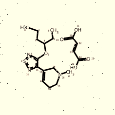 CCCC(CC)Oc1nsnc1C1=CCCN(C)C1.O=C(O)/C=C/C(=O)O